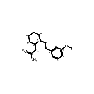 COc1cccc(CCN2CCCCC2CC(N)=O)c1